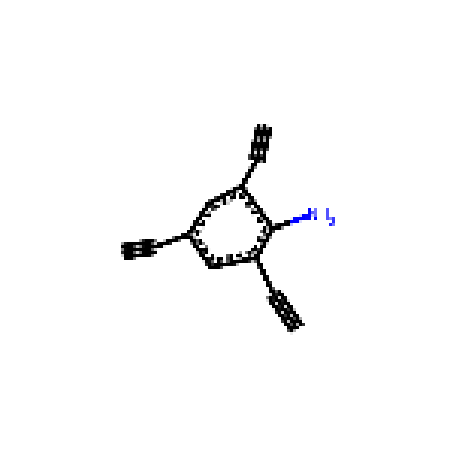 C#Cc1cc(C#C)c(N)c(C#C)c1